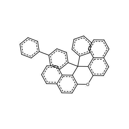 c1ccc(-c2ccc(C3(c4ccccc4)c4c(ccc5ccccc45)Oc4ccc5ccccc5c43)cc2)cc1